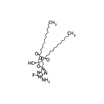 C#CC1(COC(=O)CCCCCCCCCCCCC)OC(n2cnc3c(N)nc(F)nc32)CC1OC(=O)CCCCCCCCCCCCC